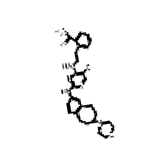 NC(=O)c1ccccc1CC[AsH]c1nc(Nc2ccc3c(c2)CCC(N2CCOCC2)CC3)ncc1Cl